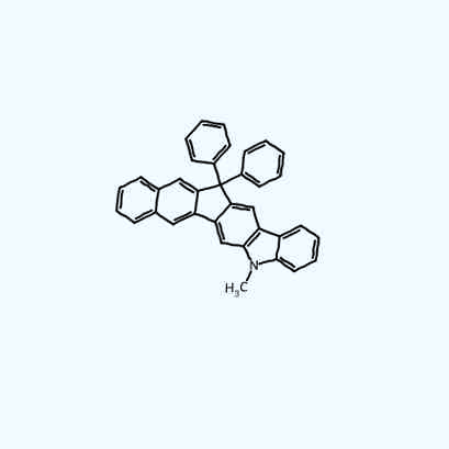 Cn1c2ccccc2c2cc3c(cc21)-c1cc2ccccc2cc1C3(c1ccccc1)c1ccccc1